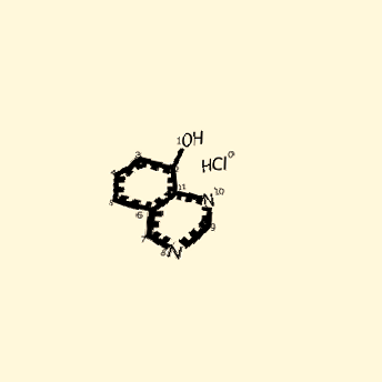 Cl.Oc1cccc2cncnc12